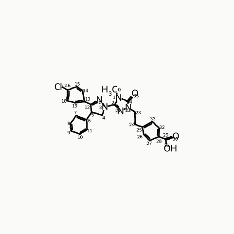 Cn1c(N2CC(c3ccccc3)C(c3ccc(Cl)cc3)=N2)nn(CCc2ccc(C(=O)O)cc2)c1=O